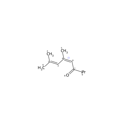 CC(C)=C/C(C)=C\C(=O)C(C)C